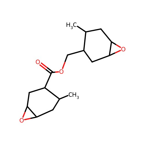 CC1CC2OC2CC1COC(=O)C1CC2OC2CC1C